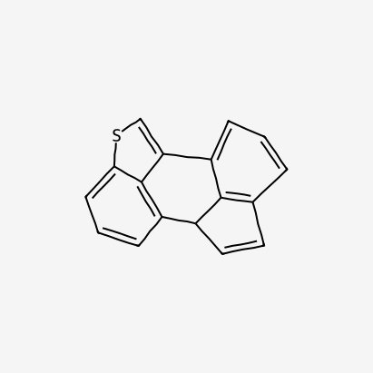 C1=CC2c3c1cccc3-c1csc3cccc2c13